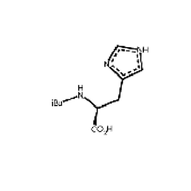 CCC(C)N[C@@H](Cc1c[nH]cn1)C(=O)O